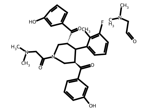 CN(C)CC=O.Cc1c(F)cccc1C1[C@@H](C(=O)c2cccc(O)c2)CN(C(=O)CN(C)C)C[C@@H]1C(=O)c1cccc(O)c1